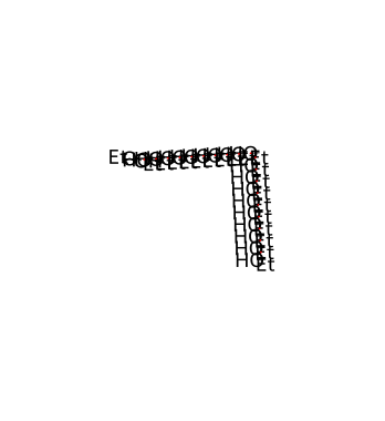 CCC(C)(C)O.CCC(C)(C)O.CCC(C)(C)O.CCC(C)(C)O.CCC(C)(C)O.CCC(C)(C)O.CCC(C)(C)O.CCC(C)(C)O.CCC(C)(C)O.CCC(C)(C)O.CCC(C)(C)O.CCC(C)(C)O.CCC(C)(C)O.CCC(C)(C)O.CCC(C)(C)O.CCC(C)(C)O.CCC(C)(C)O.CCC(C)(C)O.CCC(C)(C)O.CCC(C)(C)OCCO